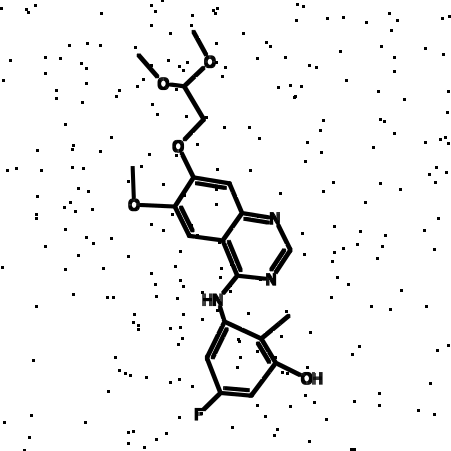 COc1cc2c(Nc3cc(F)cc(O)c3C)ncnc2cc1OCC(OC)OC